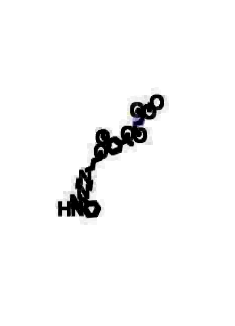 COc1cc(C(C)OC(=O)/C=C/C(=O)OC=O)ccc1OCCCCN1CCN(c2n[nH]c3ccccc23)CC1